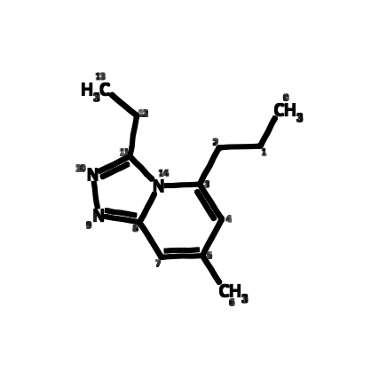 CCCc1cc(C)cc2nnc(CC)n12